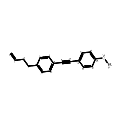 C=CCCc1ccc(C#Cc2ccc(OCC)cc2)cc1